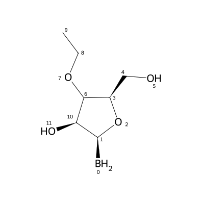 B[C@@H]1O[C@H](CO)C(OCC)[C@@H]1O